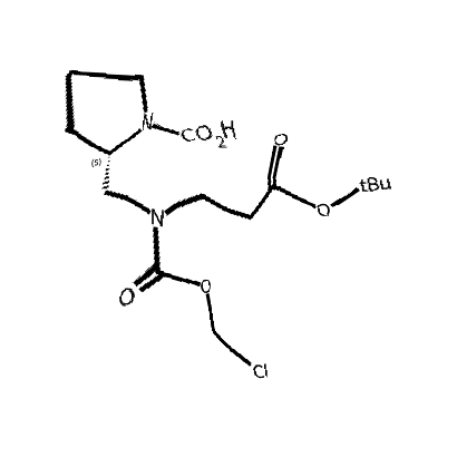 CC(C)(C)OC(=O)CCN(C[C@@H]1CCCN1C(=O)O)C(=O)OCCl